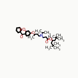 C=C(CCN(CCC(=O)OC(CC(C)(C)C)CC(C)(C)C)C(C)C)Oc1ccc(C(=O)c2ccccc2)c(O)c1